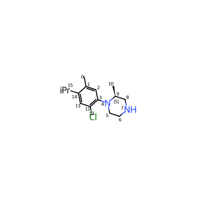 Cc1cc(N2CCNC[C@@H]2C)c(Cl)cc1C(C)C